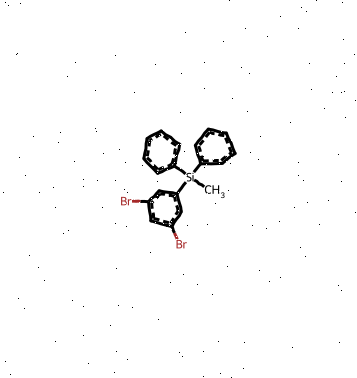 C[Si](c1ccccc1)(c1ccccc1)c1cc(Br)cc(Br)c1